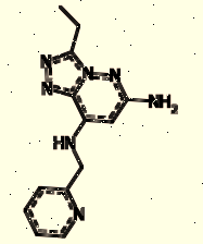 CCc1nnc2c(NCc3ccccn3)cc(N)nn12